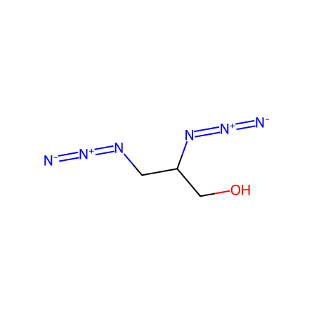 [N-]=[N+]=NCC(CO)N=[N+]=[N-]